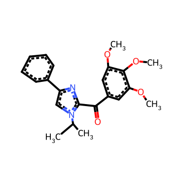 COc1cc(C(=O)c2nc(-c3ccccc3)cn2C(C)C)cc(OC)c1OC